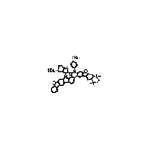 CC(C)(C)c1ccc(N2B3c4sc5ccc(C(C)(C)C)cc5c4-n4c5cc6oc7ccccc7c6cc5c5ccc(c3c54)-c3cc4c(cc32)oc2cc3c(cc24)C(C)(C)CCC3(C)C)cc1